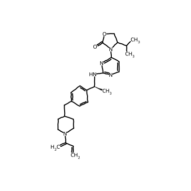 C=CC(=C)N1CCC(Cc2ccc([C@H](C)Nc3nccc(N4C(=O)OCC4C(C)C)n3)cc2)CC1